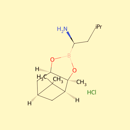 CC(C)C[C@H](N)B1O[C@@H]2C[C@@H]3C[C@@H](C3(C)C)[C@]2(C)O1.Cl